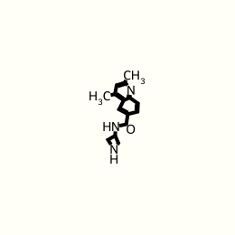 Cc1cc(C)c2cc(C(=O)NC3CNC3)ccc2n1